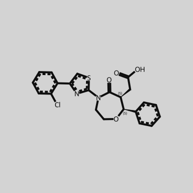 O=C(O)C[C@@H]1C(=O)N(c2nc(-c3ccccc3Cl)cs2)CCO[C@@H]1c1ccccc1